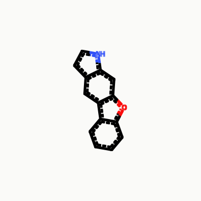 c1ccc2c(c1)oc1cc3[nH]ccc3cc12